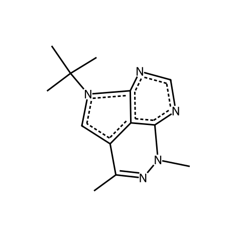 CC1=NN(C)c2ncnc3c2c1cn3C(C)(C)C